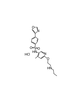 CCCNCCOc1cc(C)c(NS(=O)(=O)c2ccc(-c3cocn3)cc2)cn1.Cl